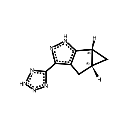 C1c2c(-c3nn[nH]n3)n[nH]c2[C@@H]2C[C@H]12